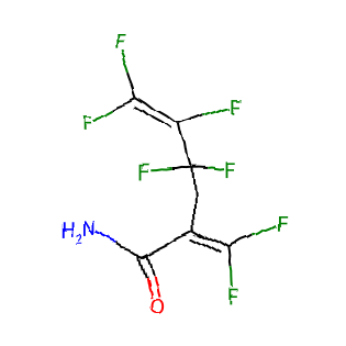 NC(=O)C(=C(F)F)C(F)(F)C(F)=C(F)F